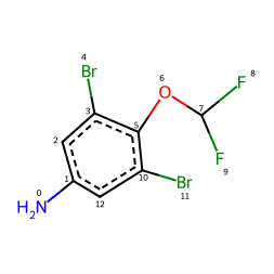 Nc1cc(Br)c(OC(F)F)c(Br)c1